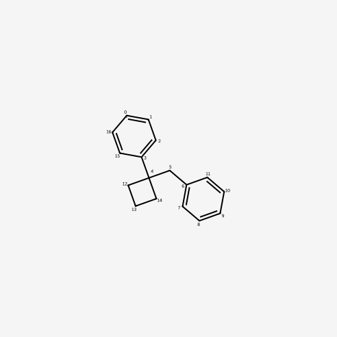 [c]1ccc(C2(Cc3ccccc3)CCC2)cc1